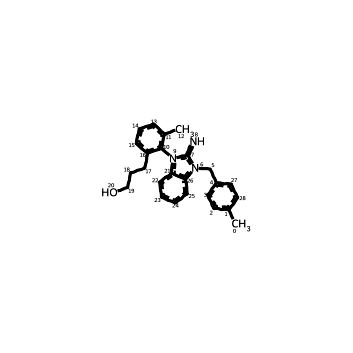 Cc1ccc(Cn2c(=N)n(-c3c(C)cccc3CCCO)c3ccccc32)cc1